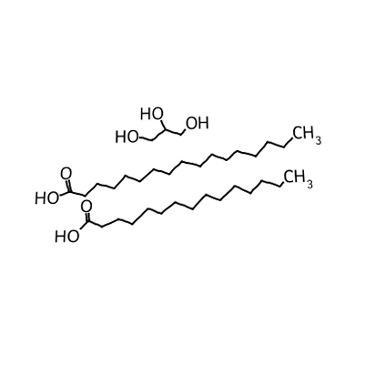 CCCCCCCCCCCCCCC(=O)O.CCCCCCCCCCCCCCCCC(=O)O.OCC(O)CO